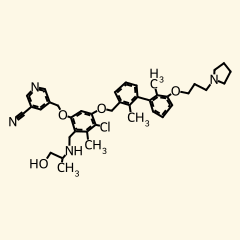 Cc1c(COc2cc(OCc3cncc(C#N)c3)c(CNC(C)CO)c(C)c2Cl)cccc1-c1cccc(OCCCN2CCCC2)c1C